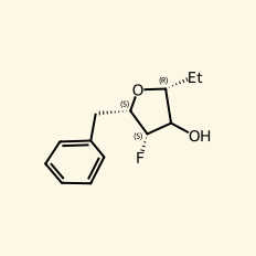 CC[C@H]1O[C@@H](Cc2ccccc2)[C@@H](F)C1O